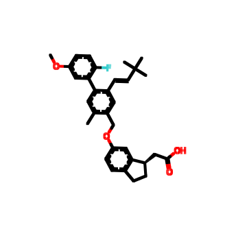 COc1ccc(F)c(-c2cc(C)c(COc3ccc4c(c3)[C@@H](CC(=O)O)CC4)cc2/C=C/C(C)(C)C)c1